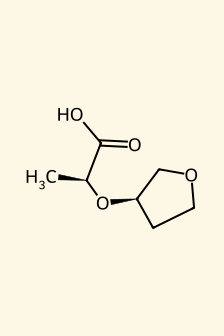 C[C@H](O[C@@H]1CCOC1)C(=O)O